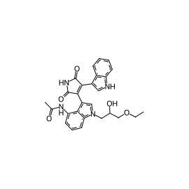 CCOCC(O)Cn1cc(C2=C(c3c[nH]c4ccccc34)C(=O)NC2=O)c2c(NC(C)=O)cccc21